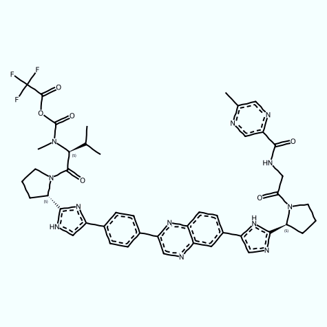 Cc1cnc(C(=O)NCC(=O)N2CCC[C@H]2c2ncc(-c3ccc4nc(-c5ccc(-c6c[nH]c([C@@H]7CCCN7C(=O)[C@H](C(C)C)N(C)C(=O)OC(=O)C(F)(F)F)n6)cc5)cnc4c3)[nH]2)cn1